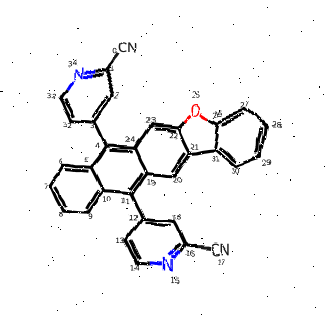 N#Cc1cc(-c2c3ccccc3c(-c3ccnc(C#N)c3)c3cc4c(cc23)oc2ccccc24)ccn1